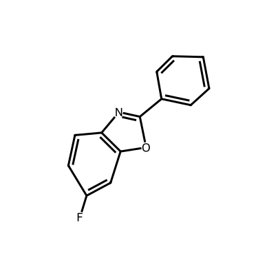 Fc1ccc2nc(-c3ccccc3)oc2c1